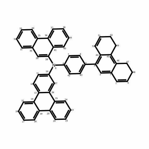 C1=Cc2cc(-c3ccc(N(c4ccc5c6ccccc6c6ccccc6c5c4)c4cc5ccccc5c5ccccc45)cc3)c3c(c2CC1)CCC=C3